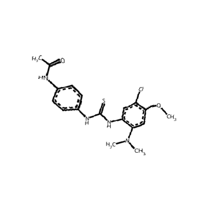 COc1cc(N(C)C)c(NC(=S)Nc2ccc(NC(C)=O)cc2)cc1Cl